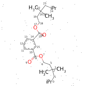 CC(C)CC(C)(C)CCOC(=O)c1cccc(C(=O)OCCC(C)(C)CC(C)C)c1